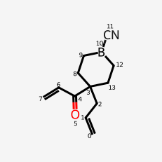 C=CCC1(C(=O)C=C)CCB(C#N)CC1